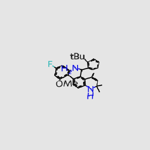 COc1cc(F)ccc1-c1ccc2c(c1C(N)c1ccccc1C(C)(C)C)C(C)=CC(C)(C)N2